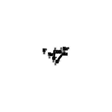 CC(C)(C)[O-].O=C([O-])[O-].[K+].[Na+].[Na+]